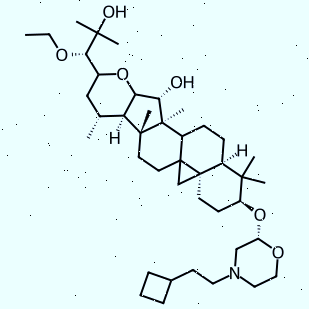 CCO[C@@H](C1C[C@@H](C)[C@H]2C(O1)[C@H](O)[C@@]1(C)C3CC[C@H]4C(C)(C)[C@@H](O[C@H]5CN(CCC6CCC6)CCO5)CC[C@@]45CC35CC[C@]21C)C(C)(C)O